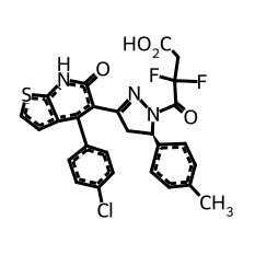 Cc1ccc([C@H]2CC(c3c(-c4ccc(Cl)cc4)c4ccsc4[nH]c3=O)=NN2C(=O)C(F)(F)CC(=O)O)cc1